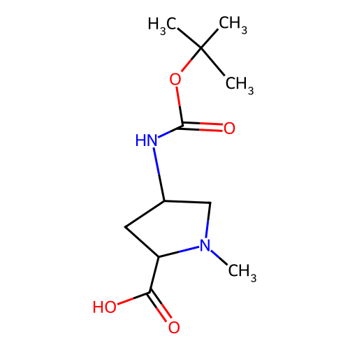 CN1CC(NC(=O)OC(C)(C)C)CC1C(=O)O